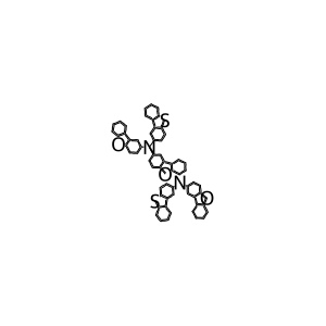 c1ccc2c(c1)oc1ccc(N(c3ccc4oc5c(N(c6ccc7oc8ccccc8c7c6)c6ccc7sc8ccccc8c7c6)cccc5c4c3)c3ccc4sc5ccccc5c4c3)cc12